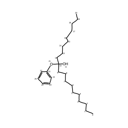 CCCCCCCCCCC(O)(CCCCCCCCC)Oc1ccccc1